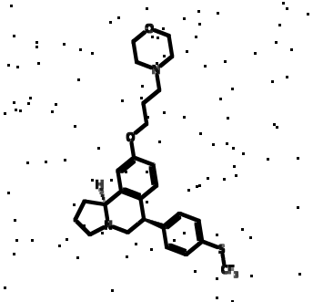 FC(F)(F)Sc1ccc([C@H]2CN3CCC[C@H]3c3cc(OCCCN4CCOCC4)ccc32)cc1